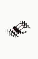 CCCCCCCCCc1ccc(OP(=O)([O-])CC(CC)CCCC)cc1.CCCCCCCCCc1ccc(OP(=O)([O-])CC(CC)CCCC)cc1.CCCCCCCCCc1ccc(OP(=O)([O-])CC(CC)CCCC)cc1.[Fe+3]